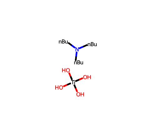 CCCCN(CCCC)CCCC.[OH][Ti]([OH])([OH])[OH]